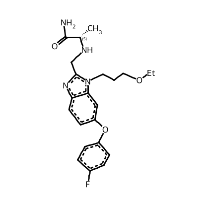 CCOCCCn1c(CN[C@@H](C)C(N)=O)nc2ccc(Oc3ccc(F)cc3)cc21